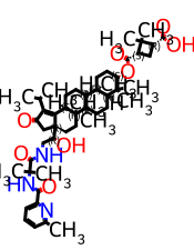 Cc1cccc(C(=O)NC(C)(C)C(=O)NC[C@H](O)[C@@]23CC[C@]4(C)[C@H](CC[C@@H]5[C@@]6(C)CC[C@H](OC(=O)[C@H]7C[C@@H](C(=O)O)C7(C)C)C(C)(C)[C@@H]6CC[C@]54C)C2=C(C(C)C)C(=O)C3)n1